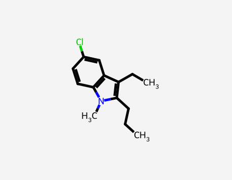 CCCc1c(CC)c2cc(Cl)ccc2n1C